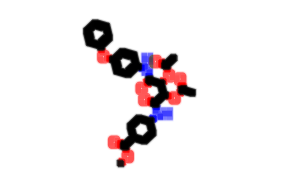 COC(=O)C1CCC(NC(=O)C(OC(C)=O)C(OC(C)=O)C(=O)Nc2ccc(Oc3ccccc3)cc2)CC1